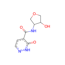 O=C(NC1COCC1O)c1ccn[nH]c1=O